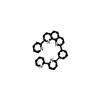 c1ccc(-c2cccc(-c3cccc(-c4ccc5ccc6ccc(-c7ccccn7)nc6c5n4)c3)n2)nc1